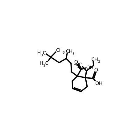 CCC(C)C1(C(=O)O)CC=CCC1(CCC(C)CC(C)(C)C)C(=O)O